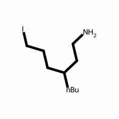 CCCCC(CCN)CCCI